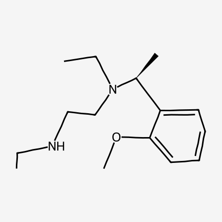 CCNCCN(CC)[C@@H](C)c1ccccc1OC